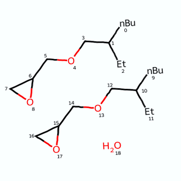 CCCCC(CC)COCC1CO1.CCCCC(CC)COCC1CO1.O